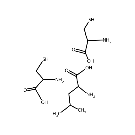 CC(C)CC(N)C(=O)O.NC(CS)C(=O)O.NC(CS)C(=O)O